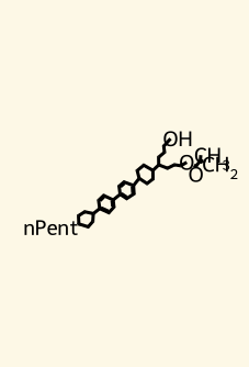 C=C(C)C(=O)OCCCC(CCCO)C1CCC(c2ccc(-c3ccc(C4CCC(CCCCC)CC4)cc3)cc2)CC1